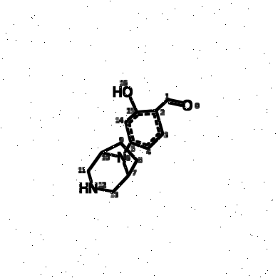 O=Cc1ccc(N2C3CCC2CNC3)cc1O